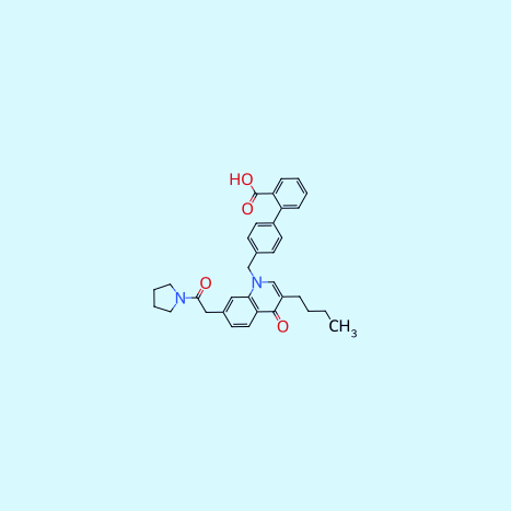 CCCCc1cn(Cc2ccc(-c3ccccc3C(=O)O)cc2)c2cc(CC(=O)N3CCCC3)ccc2c1=O